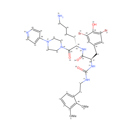 COc1cccc(CCNC(=O)N[C@H](Cc2cc(Br)c(O)c(Br)c2)C(=O)N[C@@H](CCCCN)C(=O)N2CCN(c3ccncc3)CC2)c1OC